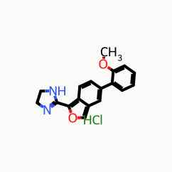 COc1ccccc1-c1ccc2c(C3=NCCN3)occ2c1.Cl